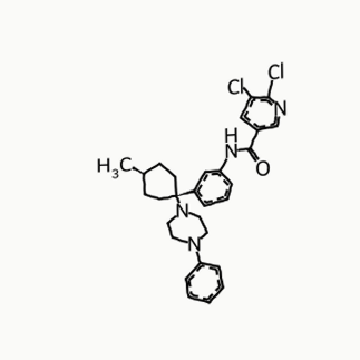 C[C@H]1CC[C@](c2cccc(NC(=O)c3cnc(Cl)c(Cl)c3)c2)(N2CCN(c3ccccc3)CC2)CC1